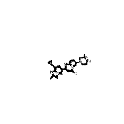 Cc1cn2cc(-c3cc(=O)n4cc(N5CCN[C@H](C)C5)ccc4n3)cc(C3CC3)c2n1